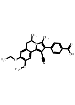 CCOc1cc2c(cc1OC)-c1c(C#N)c(-c3ccc(C(=O)O)cc3)c(C)n1C(C)C2